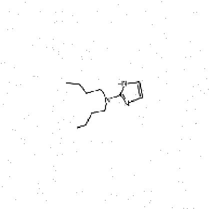 CCCCN(CCCC)c1ncc[nH]1